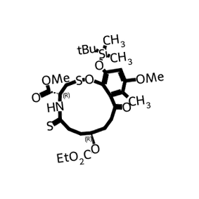 CCOC(=O)O[C@@H]1CCC(=O)c2c(C)c(OC)cc(O[Si](C)(C)C(C)(C)C)c2OSC[C@@H](C(=O)OC)NC(=S)CC1